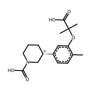 Cc1ccc([C@H]2CCCN(C(=O)O)C2)cc1OC(C)(C)C(=O)O